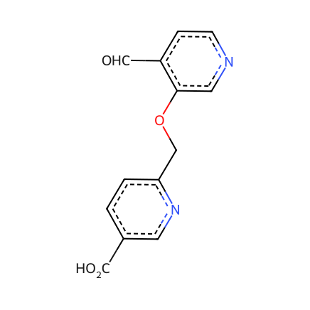 O=Cc1ccncc1OCc1ccc(C(=O)O)cn1